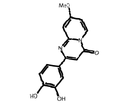 COc1ccn2c(=O)cc(-c3ccc(O)c(O)c3)nc2c1